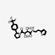 O=C(NCCc1cccs1)[C@H](O)[C@@H](O)C(=O)N1CCCC1c1ccc(C(F)(F)F)cc1